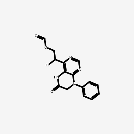 O=COCC(Cl)c1ncnc2c1NC(=O)CN2c1ccccc1